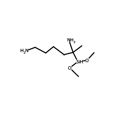 CO[SiH](OC)C(C)(N)[CH]CCCN